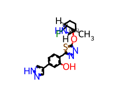 C[C@]12CC[C@H](NC1)C(F)[C@H]2Oc1nnc(-c2ccc(-c3cn[nH]c3)cc2O)s1